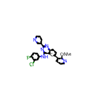 COc1ncccc1-c1ccc2nc(-c3cccnc3)nc(Nc3ccc(F)c(Cl)c3)c2c1